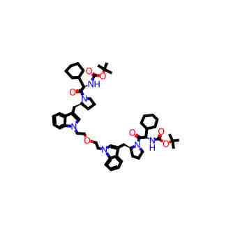 CC(C)(C)OC(=O)N[C@H](C(=O)N1CCC[C@H]1Cc1cn(CCOCCn2cc(C[C@@H]3CCCN3C(=O)[C@@H](NC(=O)OC(C)(C)C)C3CCCCC3)c3ccccc32)c2ccccc12)C1CCCCC1